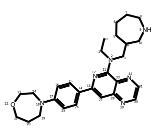 CCN(CC1CCCCNC1)c1nc(-c2ccc(N3CCCOCC3)cc2)cc2nccnc12